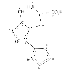 N[C@@H](Cc1c(O)noc1-c1ncco1)C(=O)O